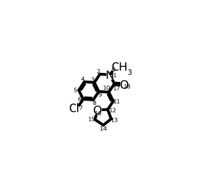 CN1Cc2ccc(Cl)cc2/C(=C\C2CCCO2)C1=O